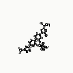 O=C1OC(C(O)F)CN1c1ccc(-c2ccc(-c3nnn(C4CC4)n3)nc2)c(F)c1.O=P(O)(O)O